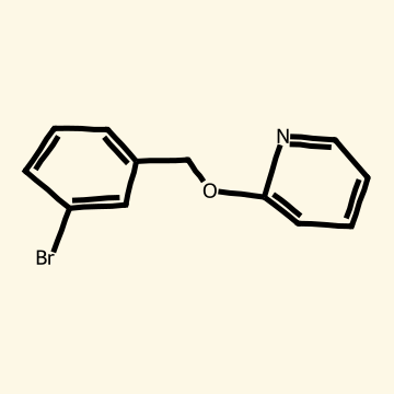 Brc1cccc(COc2ccccn2)c1